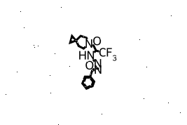 O=C(C(Nc1nnc(-c2ccccc2)o1)C(F)(F)F)N1CCC2(CC1)CC2